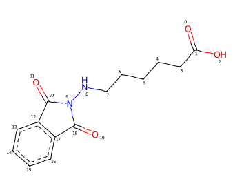 O=C(O)CCCCCNN1C(=O)c2ccccc2C1=O